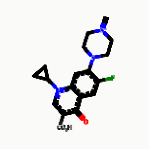 C=[N+]1CCN(c2cc3c(cc2F)c(=O)c(C(=O)O)cn3C2CC2)CC1